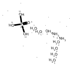 N.N.O.O.O.O.O.O.O.O=P(O)(O)O